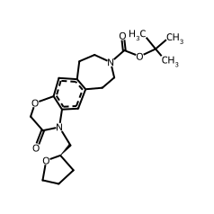 CC(C)(C)OC(=O)N1CCc2cc3c(cc2CC1)N(C[C@H]1CCCO1)C(=O)CO3